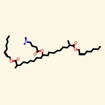 CCCCC/C=C\COC(=O)C(C)CCCCCCCC(CCCCCCCC(C)C(=O)OC/C=C\CCCCC)OC(=O)CCCN(C)C